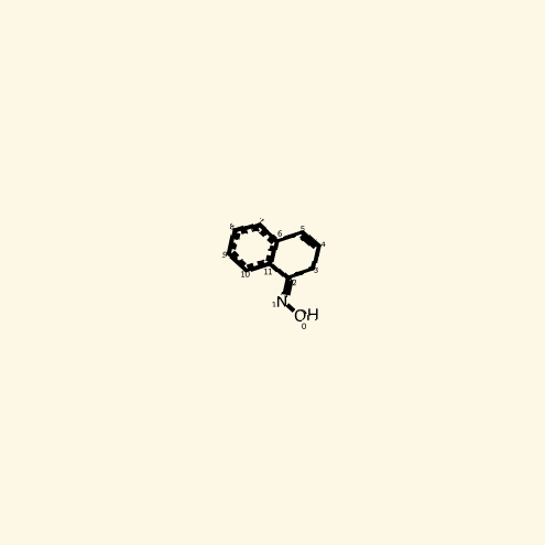 O/N=C1\CC=Cc2ccccc21